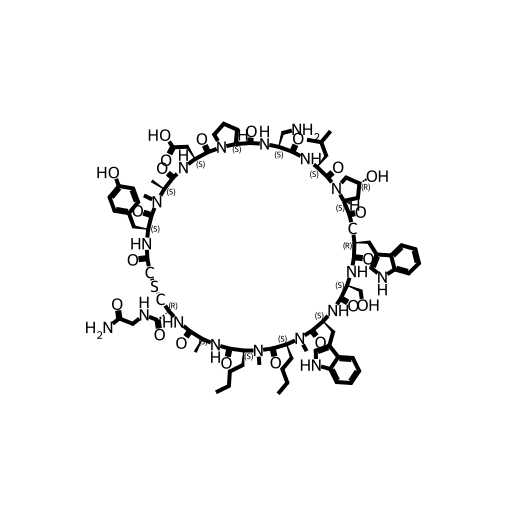 CCCC[C@H]1C(=O)N(C)[C@@H](CCCC)C(=O)N[C@@H](C)C(=O)N[C@H](C(=O)NCC(N)=O)CSCC(=O)N[C@@H](Cc2ccc(O)cc2)C(=O)N(C)[C@@H](C)C(=O)N[C@@H](CC(=O)O)C(=O)N2CCC[C@H]2C(=O)N[C@@H](CN)C(=O)N[C@@H](CC(C)C)C(=O)N2C[C@H](O)C[C@H]2C(=O)C[C@@H](Cc2c[nH]c3ccccc23)C(=O)N[C@@H](CO)C(=O)N[C@@H](Cc2c[nH]c3ccccc23)C(=O)N1C